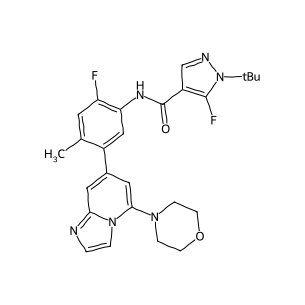 Cc1cc(F)c(NC(=O)c2cnn(C(C)(C)C)c2F)cc1-c1cc(N2CCOCC2)n2ccnc2c1